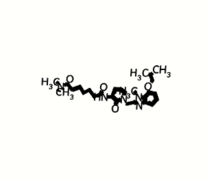 CC(C)COc1cccc2nc(Cn3cccc(NC(=O)CCC/C=C/C(=O)N(C)C)c3=O)n(C)c12